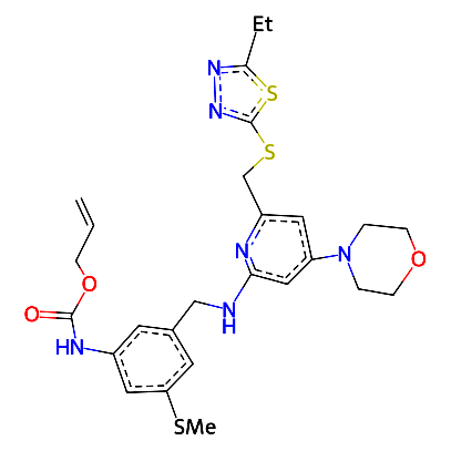 C=CCOC(=O)Nc1cc(CNc2cc(N3CCOCC3)cc(CSc3nnc(CC)s3)n2)cc(SC)c1